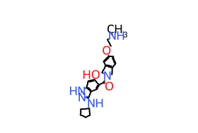 CNCCOc1ccc2c(c1)CN(C(=O)c1cc3c(NC4CCCC4)n[nH]c3cc1O)C2